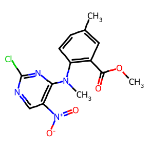 COC(=O)c1cc(C)ccc1N(C)c1nc(Cl)ncc1[N+](=O)[O-]